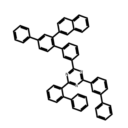 c1ccc(-c2cccc(-c3nc(-c4cccc(-c5ccc(-c6ccccc6)cc5-c5ccc6ccccc6c5)c4)nc(-c4ccccc4-c4ccccc4)n3)c2)cc1